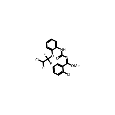 COC(=NC(=O)Nc1ccccc1OC(F)(F)C(Cl)Cl)c1ccccc1Cl